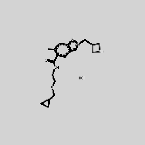 Cc1cc2nn(CC3CNC3)cc2cc1C(=O)NCCOCC1CC1.Cl